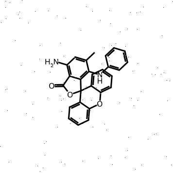 Cc1cc(N)c2c(c1Nc1ccccc1)C1(OC2=O)c2ccccc2Oc2ccccc21